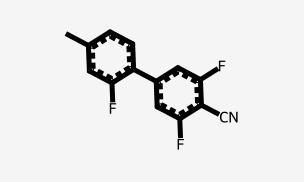 Cc1ccc(-c2cc(F)c(C#N)c(F)c2)c(F)c1